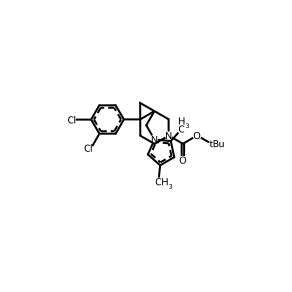 Cc1cc(C)n(CC23CN(C(=O)OC(C)(C)C)CCC2(c2ccc(Cl)c(Cl)c2)C3)c1